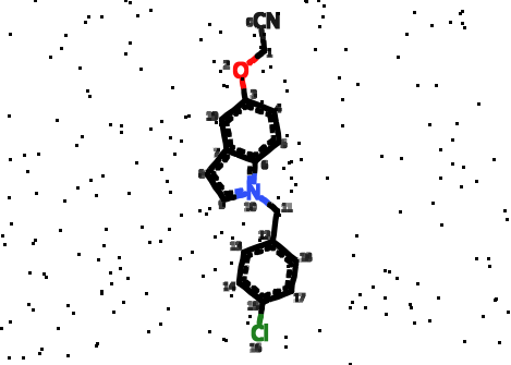 N#CCOc1ccc2c(ccn2Cc2ccc(Cl)cc2)c1